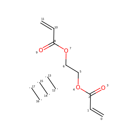 C=CC(=O)OCCOC(=O)C=C.[CH2][CH2].[CH2][CH2].[CH2][CH2]